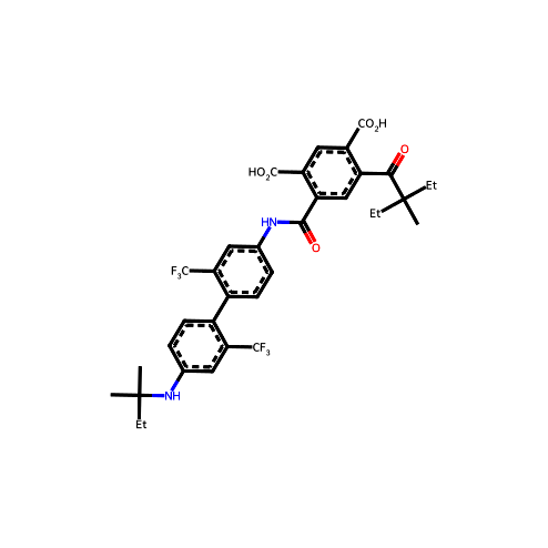 CCC(C)(C)Nc1ccc(-c2ccc(NC(=O)c3cc(C(=O)C(C)(CC)CC)c(C(=O)O)cc3C(=O)O)cc2C(F)(F)F)c(C(F)(F)F)c1